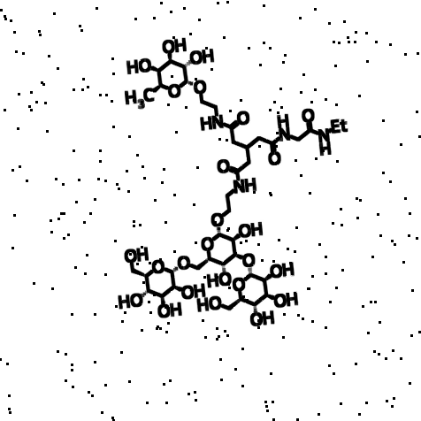 CCNC(=O)CNC(=O)CC(CC(=O)NCCO[C@@H]1O[C@@H](C)[C@@H](O)[C@@H](O)[C@@H]1O)CC(=O)NCCO[C@H]1O[C@H](CO[C@H]2O[C@H](CO)[C@@H](O)[C@H](O)[C@@H]2O)[C@@H](O)[C@H](O[C@H]2O[C@H](CO)[C@@H](O)[C@H](O)[C@@H]2O)[C@@H]1O